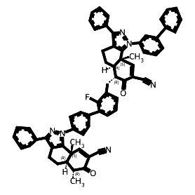 C[C@H]1C(=O)C(C#N)=C[C@@]2(C)c3c(c(-c4ccccc4)nn3-c3ccc(-c4cccc(C[C@H]5C(=O)C(C#N)=C[C@@]6(C)c7c(c(-c8ccccc8)nn7-c7cccc(-c8ccccc8)c7)CC[C@H]56)c4F)cc3)CC[C@H]12